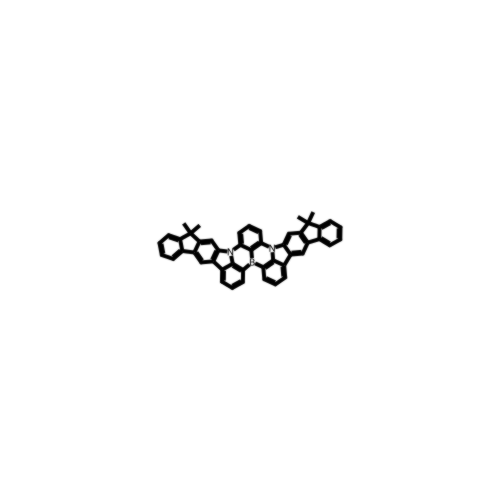 CC1(C)c2ccccc2-c2cc3c4cccc5c4n(c3cc21)-c1cccc2c1B5c1cccc3c4cc5c(cc4n-2c13)C(C)(C)c1ccccc1-5